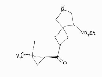 CCOC(=O)C1CNCC12CN(C(=O)[C@H]1CC1(C)I)C2